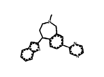 CN1CCC(c2cc3ccccc3s2)c2ccc(-c3cnccn3)cc2C1